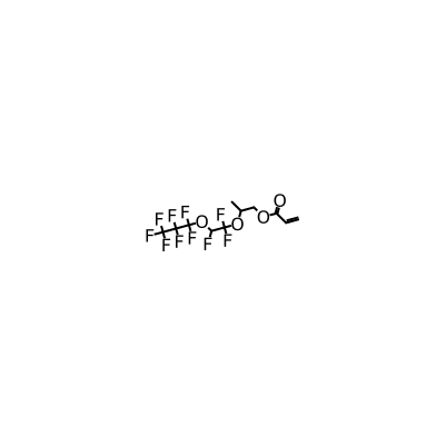 C=CC(=O)OCC(C)OC(F)(F)C(F)OC(F)(F)C(F)(F)C(F)(F)F